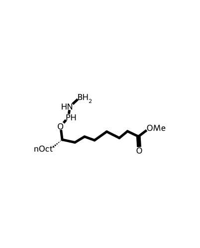 BNPO[C@@H](CCCCCCCC)CCCCCCC(=O)OC